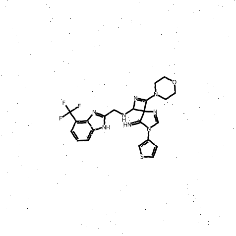 N=C1N(c2ccsc2)C=NC12C(N1CCOCC1)=NC2NCc1nc2c(C(F)(F)F)cccc2[nH]1